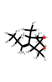 CC(=C(C(F)(C(F)(F)F)C(F)(F)F)C(F)(C(F)(F)F)C(F)(F)F)C(F)(F)C(F)(F)F